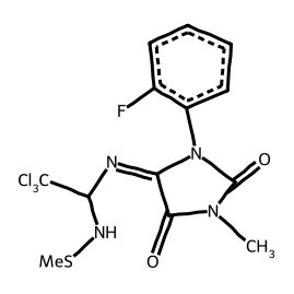 CSNC(N=C1C(=O)N(C)C(=O)N1c1ccccc1F)C(Cl)(Cl)Cl